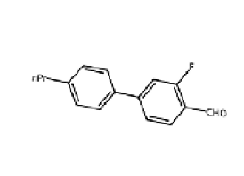 CCCc1ccc(-c2ccc(C=O)c(F)c2)cc1